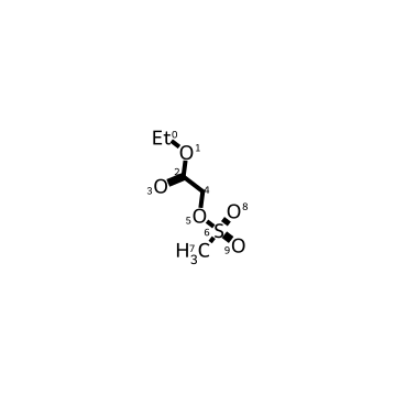 CCOC(=O)COS(C)(=O)=O